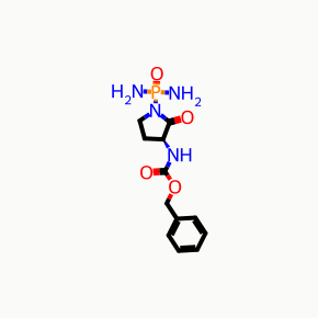 NP(N)(=O)N1CC[C@H](NC(=O)OCc2ccccc2)C1=O